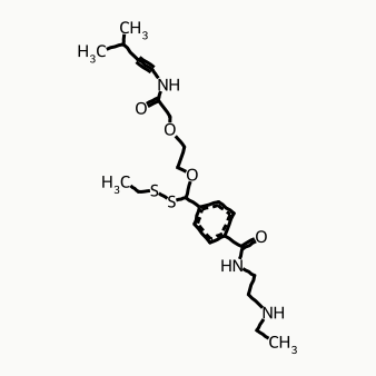 CCNCCNC(=O)c1ccc(C(OCCOCC(=O)NC#CC(C)C)SSCC)cc1